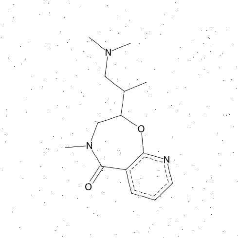 CC(CN(C)C)C1CN(C)C(=O)c2cccnc2O1